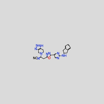 N#C/N=C(/Cc1nnc(-c2cnc(NC3Cc4ccccc4C3)nc2)o1)N1CCc2[nH]nnc2C1